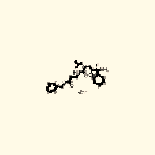 CC(C)C[C@H](C[C@H](O)[C@@](C)(N)C1CCCCC1)C(=O)NCCC(=O)OCc1ccccc1.Cl